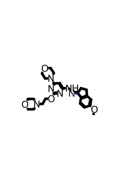 COc1ccc2c(c1)CC/C2=N\Nc1cc(N2CCOCC2)nc(OCCN2CCOCC2)n1